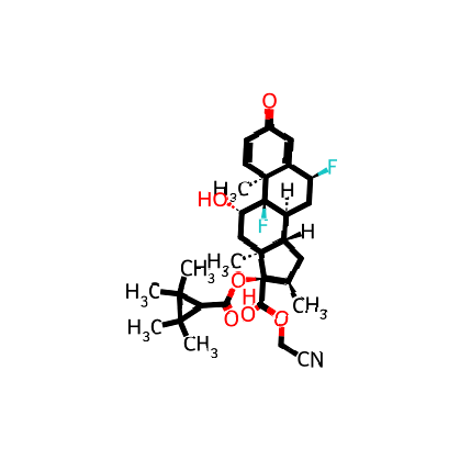 C[C@@H]1C[C@H]2[C@@H]3C[C@H](F)C4=CC(=O)C=C[C@]4(C)[C@@]3(F)[C@@H](O)C[C@]2(C)[C@@]1(OC(=O)C1C(C)(C)C1(C)C)C(O)OCC#N